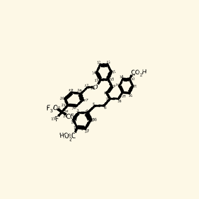 O=C(O)c1ccc(CCC(/C=C/c2ccccc2OCc2ccc(C(F)(C(F)(F)F)C(F)(F)F)cc2)Cc2ccc(C(=O)O)cc2)cc1